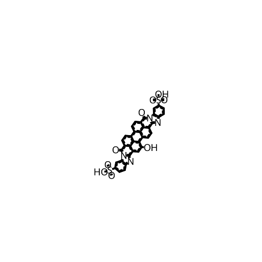 O=c1c2ccc3c4ccc5c(=O)n6c7cc(S(=O)(=O)O)ccc7nc6c6cc(O)c(c7ccc(c2c37)c2nc3ccc(S(=O)(=O)O)cc3n12)c4c56